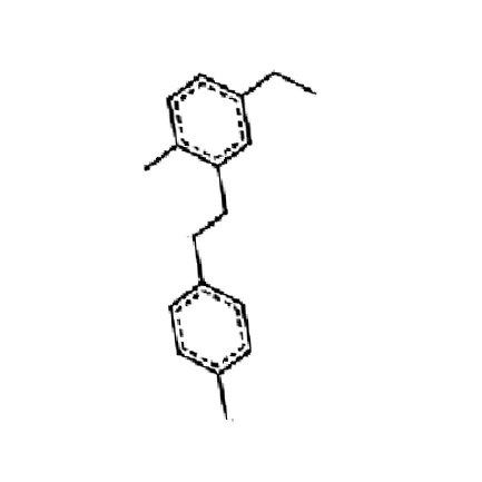 [CH2]c1ccc([CH]Cc2cc(CC)ccc2C)cc1